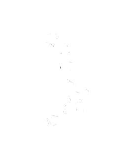 Cc1ccnc(NS(=O)(=O)c2ccc(/N=N/c3cc(/N=N/c4ccccc4)c(N)nc3N)cc2)n1